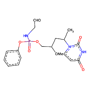 COC(COP(=O)(NCC=O)Oc1ccccc1)CC(C)n1ccc(=O)[nH]c1=O